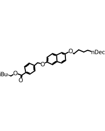 CCCCCCCCCCCCCCOc1ccc2cc(OCc3ccc(C(=O)OC[C@H](C)CC)cc3)ccc2c1